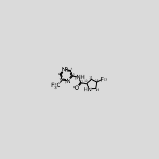 O=C(Nc1cncc(C(F)(F)F)n1)C1CC(F)CN1